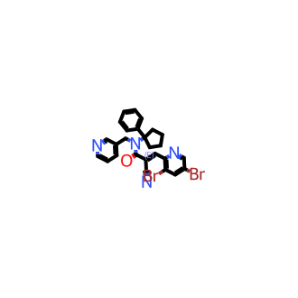 N#C/C(=C\c1ncc(Br)cc1Br)C(=O)N(Cc1cccnc1)C1(c2ccccc2)CCCC1